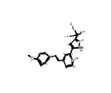 COc1ccc(/C=C/c2ccnc(-c3cc(C(F)(F)F)n[nH]3)c2)cc1